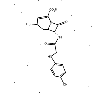 CC1C=C(C(=O)O)N2C(=O)[C@H](NC(=O)CNc3ccc(O)cc3)C2C1